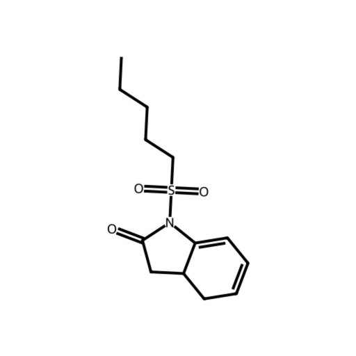 CCCCCS(=O)(=O)N1C(=O)CC2CC=CC=C21